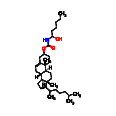 CCCCCC(O)NC(=O)O[C@H]1CC[C@@]2(C)C(=CC[C@H]3[C@@H]4CC[C@H]([C@H](C)CCCC(C)C)[C@@]4(C)CC[C@@H]32)C1